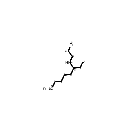 CCCCCCCCCCC(CO)NCCO